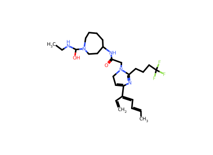 C=C/C(=C\C=C\C)C1=CCN(CC(=O)NC2CCCCN(C(O)NCC)CC2)C(CCCC(F)(F)F)=N1